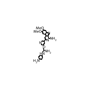 COc1cc2ncc3c(N)nc(-c4cncc(OC[C@@H](N)CNc5ccc(N)cc5)c4)cc3c2cc1OC